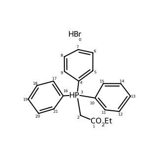 Br.CCOC(=O)C[PH](c1ccccc1)(c1ccccc1)c1ccccc1